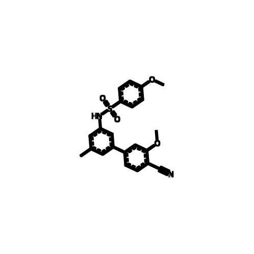 COc1ccc(S(=O)(=O)Nc2cc(C)cc(-c3ccc(C#N)c(OC)c3)c2)cc1